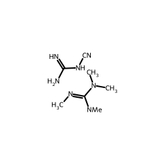 C/N=C(\NC)N(C)C.N#CNC(=N)N